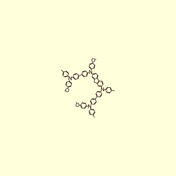 COc1ccc(N(c2ccc(C)cc2)c2ccc(-c3ccc(N(c4ccc(C)cc4)c4ccc5c(c4)Cc4cc(N(c6ccc(OC)cc6)c6ccc(-c7ccc(N(c8ccc(C)cc8)c8ccc(OC)cc8)cc7)cc6)ccc4-5)cc3)cc2)cc1